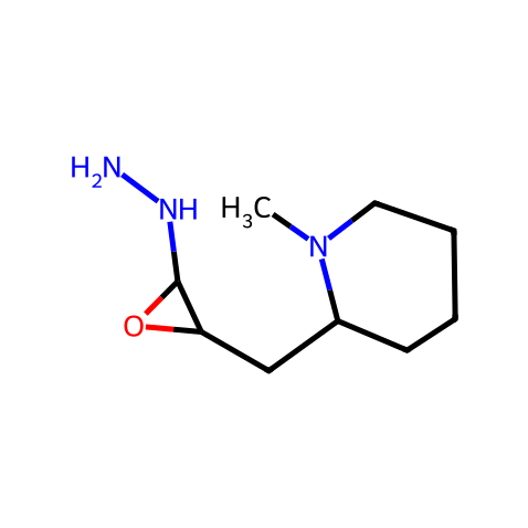 CN1CCCCC1CC1OC1NN